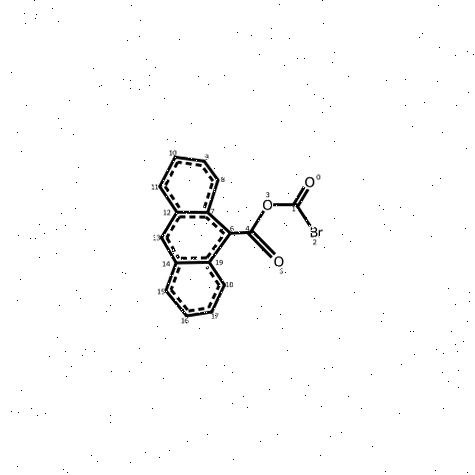 O=C(Br)OC(=O)c1c2ccccc2cc2ccccc12